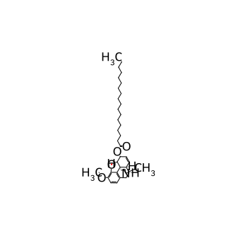 CCCCCCCCCCCCCCCCCC(=O)O[C@H]1C=C[C@H]2[C@H]3Cc4ccc(OC)c5c4[C@@]2(CCN3C)[C@H]1O5